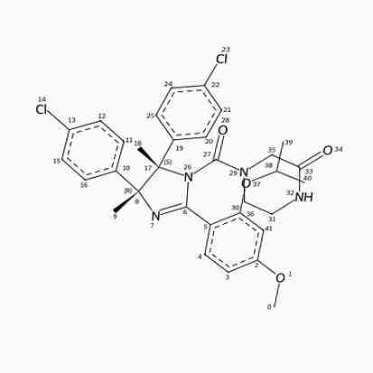 COc1ccc(C2=N[C@](C)(c3ccc(Cl)cc3)[C@](C)(c3ccc(Cl)cc3)N2C(=O)N2CCNC(=O)C2)c(OC(C)C)c1